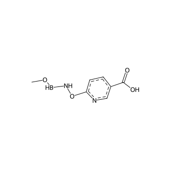 COBNOc1ccc(C(=O)O)cn1